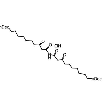 CCCCCCCCCCCCCCCCCC(=O)CC(=O)NC(=O)CC(=O)CCCCCCCCCCCCCCCCC.Cl